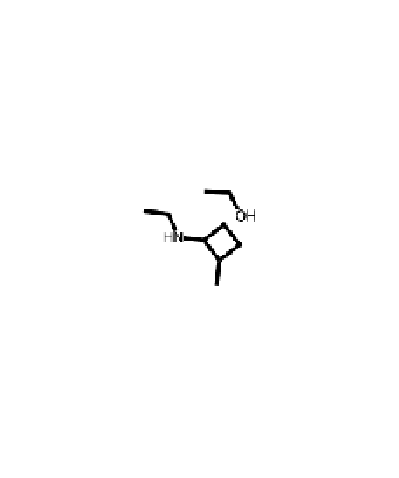 CCNC1CCC1C.CCO